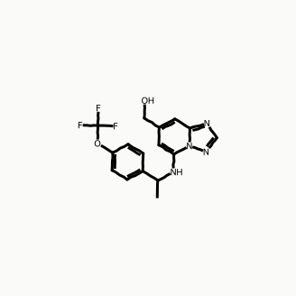 CC(Nc1cc(CO)cc2ncnn12)c1ccc(OC(F)(F)F)cc1